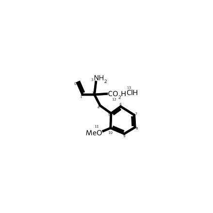 C=CC(N)(Cc1ccccc1OC)C(=O)O.Cl